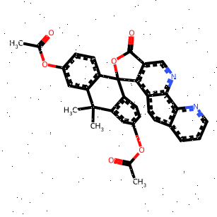 CC(=O)Oc1ccc2c(c1)C(C)(C)c1cc(OC(C)=O)ccc1C21OC(=O)c2cnc3c(ccc4cccnc43)c21